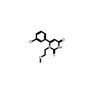 COCCn1c(-c2cccc(Cl)c2)cc(=O)[nH]c1=S